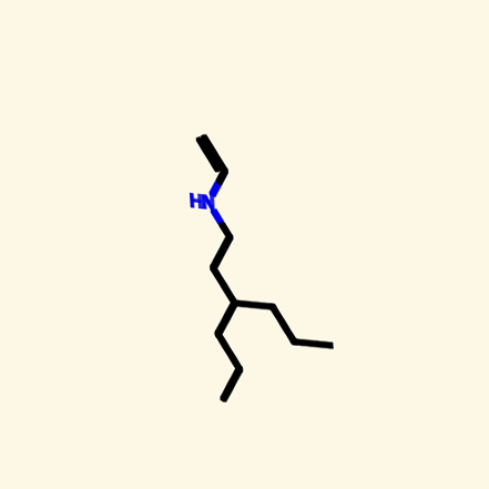 C=CNCCC(CCC)CCC